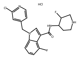 Cl.O=C(NC1CCNCC1F)c1cn(Cc2ccnc(Cl)c2)c2cccc(F)c12